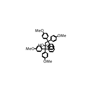 COc1ccc(C(CC(O)(S)C(c2ccccc2)(c2ccc(OC)cc2)c2ccc(OC)cc2)(c2ccccc2)c2ccc(OC)cc2)cc1